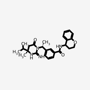 CC(C)[C@]1(C)CC(=O)N([C@H](C)c2cccc(C(=O)NC3CCOc4ccccc43)c2)C(=N)N1